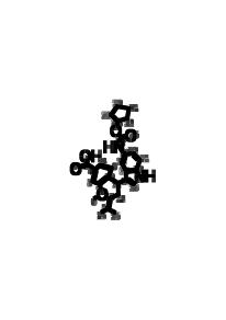 COc1cc(C(=O)O)ccc1C(CC=C(C)C)c1c[nH]c2ccc(NC(=O)OC3CCCC3)cc12